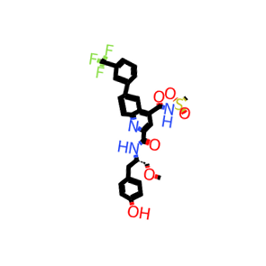 COC[C@H](Cc1ccc(O)cc1)NC(=O)c1cc(C(=O)NS(C)(=O)=O)c2cc(-c3cccc(C(F)(F)F)c3)ccc2n1